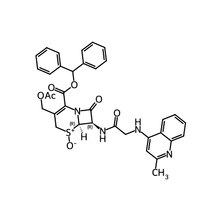 CC(=O)OCC1=C(C(=O)OC(c2ccccc2)c2ccccc2)N2C(=O)[C@@H](NC(=O)CNc3cc(C)nc4ccccc34)[C@H]2[S+]([O-])C1